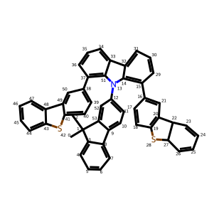 CC1(C)c2ccccc2-c2ccc(-n3c4c(-c5ccc6c(c5)C5C=CC=CC5S6)cccc4c4cccc(-c5ccc6sc7ccccc7c6c5)c43)cc21